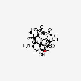 N.O=P(O)(O)C(N(C(P(=O)(O)O)P(=O)(O)O)C1(P(=O)(O)O)C(CCO)COP1(=O)O)P(=O)(O)O